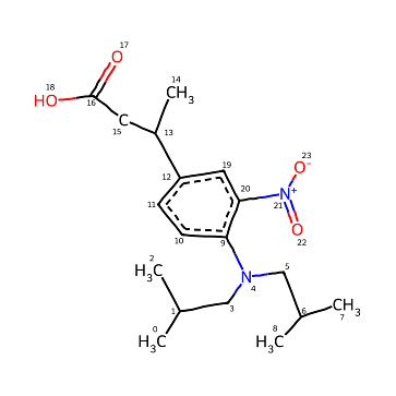 CC(C)CN(CC(C)C)c1ccc(C(C)CC(=O)O)cc1[N+](=O)[O-]